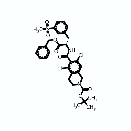 CC(C)(C)OC(=O)N1CCc2c(cc(Cl)c(C(=O)N[C@@H](Cc3cccc(S(C)(=O)=O)c3)C(=O)OCc3ccccc3)c2Cl)C1